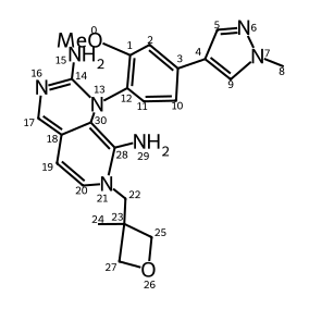 COc1cc(-c2cnn(C)c2)ccc1N1C(N)=NC=C2C=CN(CC3(C)COC3)C(N)=C21